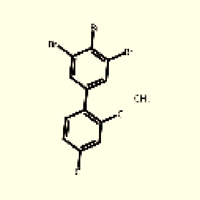 C.Clc1ccc(-c2cc(Br)c(Br)c(Br)c2)c(Cl)c1